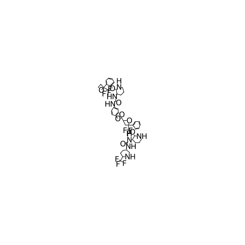 O=C(Nc1ccc2c(c1)OC(C1CC(c3ccccc3OC3NCCCC3NC(=O)NC3CCC(C(F)(F)F)NC3)(C(F)(F)F)O1)O2)NC1CCCNC1Oc1ccccc1C1(C(F)(F)F)CCO1